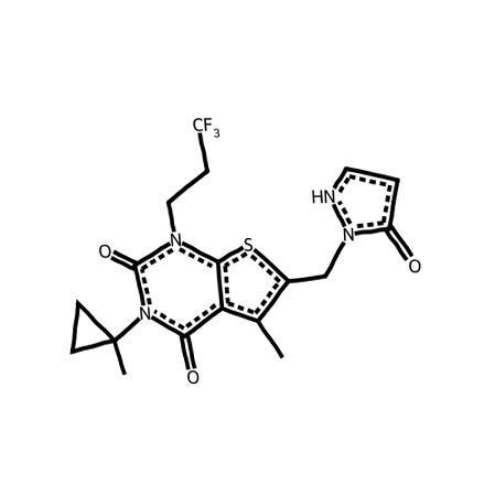 Cc1c(Cn2[nH]ccc2=O)sc2c1c(=O)n(C1(C)CC1)c(=O)n2CCC(F)(F)F